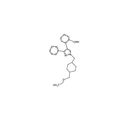 COc1ccccc1-c1cn(CC2CCC(COCC(=O)O)CC2)nc1-c1ccccc1